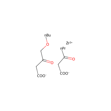 CCCC(=O)CC(=O)[O-].CCCCOCC(=O)CC(=O)[O-].[Zr+2]